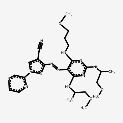 COCCCNc1nc(NC(C)COC)nc(NC(C)COC)c1N=Nc1nn(-c2cnccn2)cc1C#N